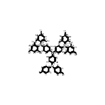 Cc1ccc(N(c2ccc(C)cc2)c2ccc(N(c3ccc(N(c4c(C)cc(C)cc4C)c4c(C)cc(C)cc4C)cc3)c3ccc(N(c4c(C)cc(C)cc4C)c4c(C)cc(C)cc4C)cc3)cc2)cc1